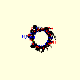 CCCC[C@H]1C(=O)N(C)CC(=O)N[C@@H](CC(=O)O)C(=O)N[C@@H](C(C)C)C(=O)N(C)[C@@H](Cc2ccccc2)C(=O)N[C@@H](Cc2ccc(O)cc2)C(=O)N(C)CC(=O)N[C@@H](Cc2c[nH]c3ccccc23)C(=O)N[C@@H](Cc2ccc(O)cc2)C(=O)N[C@H](C(=O)NCC(N)=O)CSCC(=O)N[C@@H](Cc2ccccc2)C(=O)N(C)[C@@H](Cc2ccccc2)C(=O)N1C